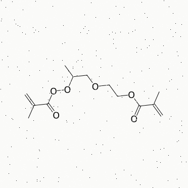 C=C(C)C(=O)OCCOCC(C)OOC(=O)C(=C)C